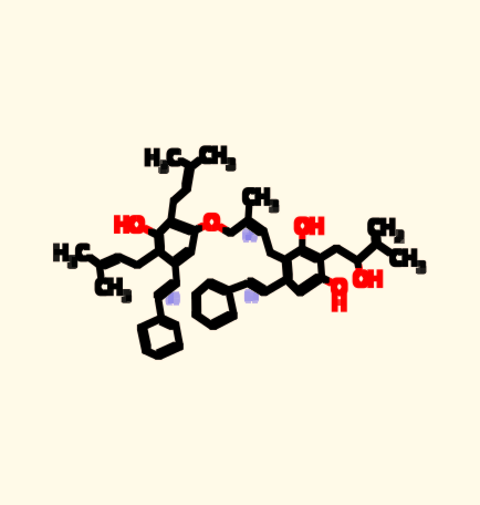 C=C(C)C(O)Cc1c(O)cc(/C=C/c2ccccc2)c(C/C=C(/C)COc2cc(/C=C/c3ccccc3)c(CC=C(C)C)c(O)c2CC=C(C)C)c1O